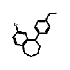 CCc1ccc(C2CCCCc3ccc(Br)cc32)cc1